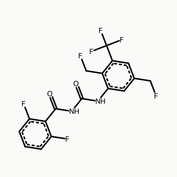 O=C(NC(=O)c1c(F)cccc1F)Nc1cc(CF)cc(C(F)(F)F)c1CF